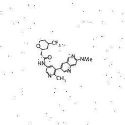 CNc1cc2ncc(-c3cc(NC(=O)C[C@@H]4C[C@H](C(F)(F)F)CCO4)cnc3C)cc2cn1